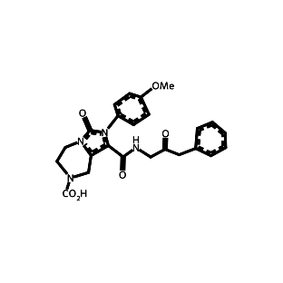 COc1ccc(-n2c(C(=O)NCC(=O)Cc3ccccc3)c3n(c2=O)CCN(C(=O)O)C3)cc1